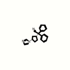 N#CC(c1ccccc1)(c1ccccc1)[C@@H]1CC[C@H](n2ccnc2)C1